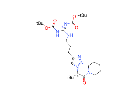 CCC(C)[C@@H](C(=O)N1CCCCC1)n1cc(CCCN/C(=N\C(=O)OC(C)(C)C)NC(=O)OC(C)(C)C)nn1